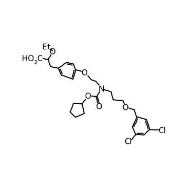 CCOC(Cc1ccc(OCCN(CCCOCc2cc(Cl)cc(Cl)c2)C(=O)OC2CCCC2)cc1)C(=O)O